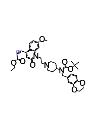 CCOC(=O)/C=C\c1cc(=O)n(CCN2CCC(N(Cc3ccc4c(c3)OCCO4)C(=O)OC(C)(C)C)CC2)c2cc(OC)ccc12